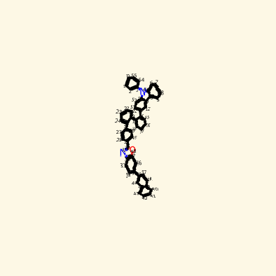 c1ccc(-n2c3ccccc3c3cc(-c4ccccc4-c4ccccc4-c4ccc(-c5nc6ccc(-c7ccc8ccccc8c7)cc6o5)cc4)ccc32)cc1